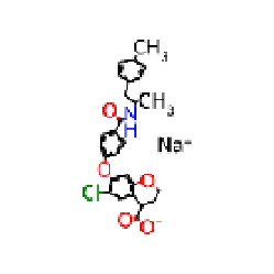 Cc1ccc(CC(C)NC(=O)c2ccc(Oc3cc4c(cc3Cl)C(C(=O)[O-])CCO4)cc2)cc1.[Na+]